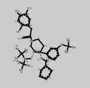 [2H]C([2H])([2H])Oc1cccc([C@]2(OC(=O)c3ccccc3)CCN(C(=O)Cc3cc(F)c(F)cc3F)C[C@H]2CN(C([2H])([2H])[2H])C([2H])([2H])[2H])c1